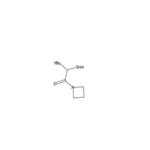 CC(C)(C)[CH]([SnH])C(=O)N1CCC1